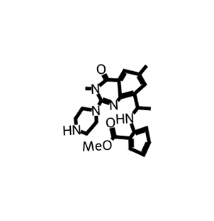 COC(=O)c1ccccc1NC(C)c1cc(C)cc2c(=O)n(C)c(N3CCNCC3)nc12